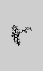 COC(=O)CCCC#Cc1cc(C(F)(F)F)ccc1NS(=O)(=O)C1=C2C=COC=C2CC1